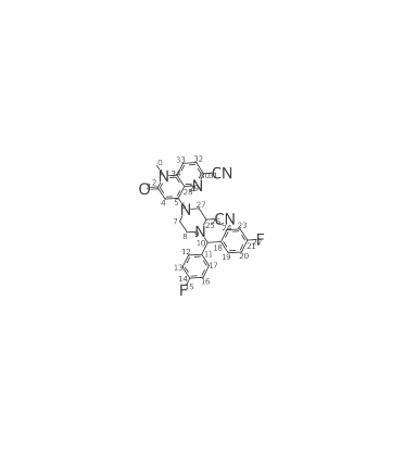 Cn1c(=O)cc(N2CCN(C(c3ccc(F)cc3)c3ccc(F)cc3)C(C#N)C2)c2nc(C#N)ccc21